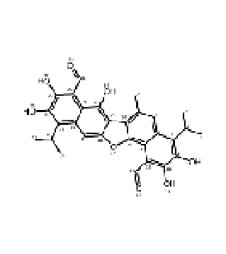 Cc1cc2c(C(C)C)c(O)c(O)c(C=O)c2c2oc3cc4c(C(C)C)c(O)c(O)c(C=O)c4c(O)c3c12